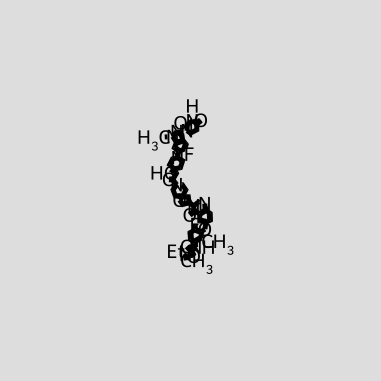 CCN(C)S(=O)(=O)Nc1ccc(F)c(Oc2ccc3ncn(C4COC5(CCN(C(=O)CC6(O)CCN(c7cc8c(cc7F)c(N7CCC(=O)NC7=O)nn8C)CC6)CC5)C4)c(=O)c3c2)c1C